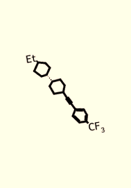 CC[C@H]1CC[C@H](C2CCC(C#Cc3ccc(C(F)(F)F)cc3)CC2)CC1